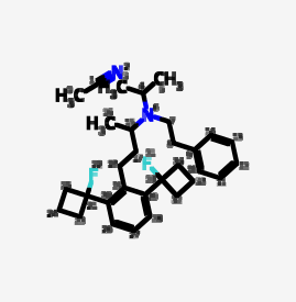 CC#N.CC(C)N(CCc1ccccc1)C(C)CCc1c(C2(F)CCC2)cccc1C1(F)CCC1